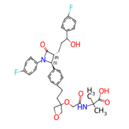 CC(C)(NC(=O)COC1(CCc2ccc([C@@H]3[C@@H](CCC(O)c4ccc(F)cc4)C(=O)N3c3ccc(F)cc3)cc2)COC1)C(=O)O